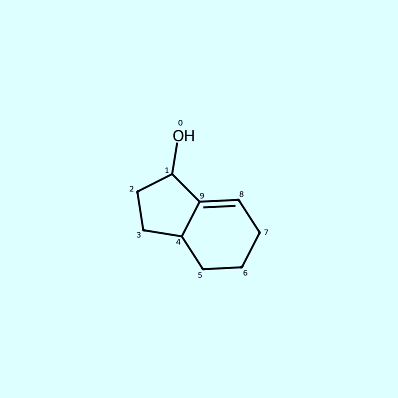 OC1CCC2CCCC=C12